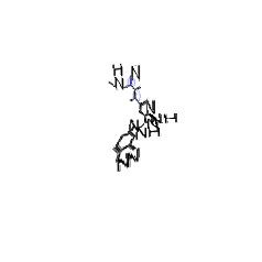 C=N/C=C(CNCC)\C(C)=C(/C)c1cnc2[nH]nc(-c3nc4ccc5cnncc5c4[nH]3)c2c1